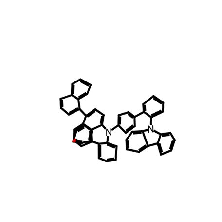 c1ccc(-c2ccccc2N(c2ccc(-c3ccccc3-n3c4ccccc4c4ccccc43)cc2)c2ccc(-c3cccc4ccccc34)c3ccccc23)cc1